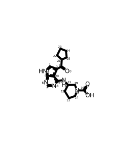 O=C(c1c[nH]c2ncnc(NC3CCCN(C(=O)O)C3)c12)C1CCCC1